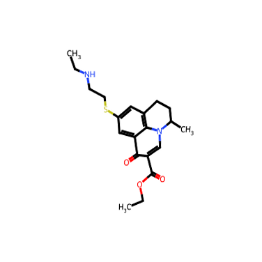 CCNCCSc1cc2c3c(c1)c(=O)c(C(=O)OCC)cn3C(C)CC2